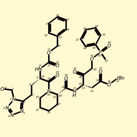 COCn1nnnc1CC[C@H](NC(=O)OCc1ccccc1)C(=O)N1CCCC[C@H]1C(=O)N[C@@H](CC(=O)OC(C)(C)C)C(=O)COP(C)(=O)c1ccccc1